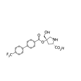 O=C(O[C@]1(CO)CN[C@H](C(=O)O)C1)c1ccc(-c2ccc(C(F)(F)F)cc2)cc1